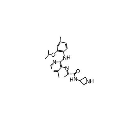 C=C(C)C(/N=C(\C)C(=O)NC1CNC1)=C(\N=C/C)Nc1ccc(C)cc1OC(C)C